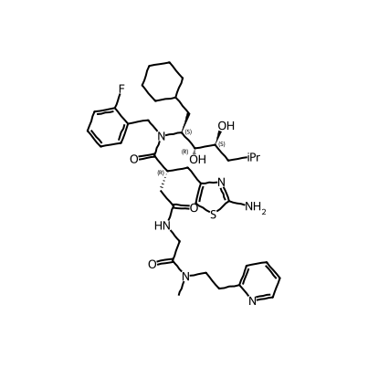 CC(C)C[C@H](O)[C@H](O)[C@H](CC1CCCCC1)N(Cc1ccccc1F)C(=O)[C@@H](CC(=O)NCC(=O)N(C)CCc1ccccn1)Cc1csc(N)n1